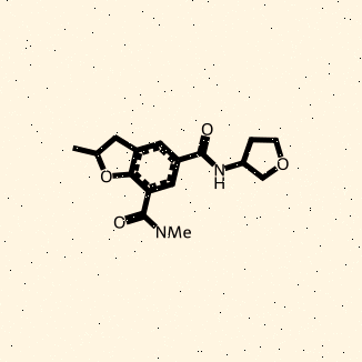 CNC(=O)c1cc(C(=O)NC2CCOC2)cc2c1OC(C)C2